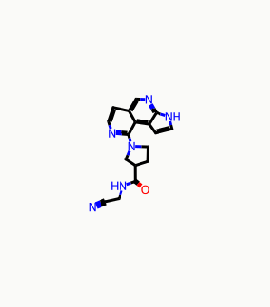 N#CCNC(=O)C1CCN(c2nccc3cnc4[nH]ccc4c23)C1